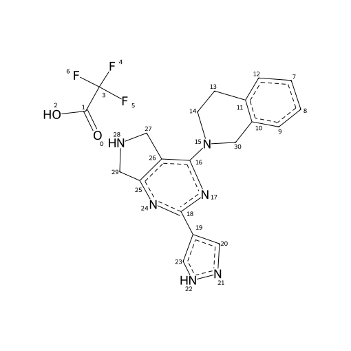 O=C(O)C(F)(F)F.c1ccc2c(c1)CCN(c1nc(-c3cn[nH]c3)nc3c1CNC3)C2